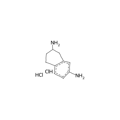 Cl.Cl.Nc1ccc2c(c1)CC(N)CC2